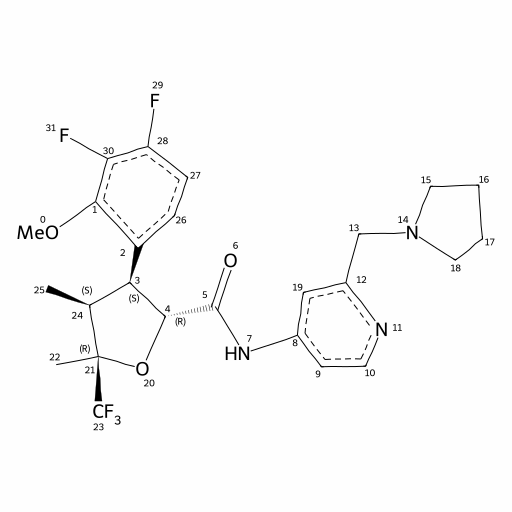 COc1c([C@H]2[C@H](C(=O)Nc3ccnc(CN4CCCC4)c3)O[C@@](C)(C(F)(F)F)[C@H]2C)ccc(F)c1F